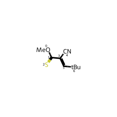 COC(=S)/C(C#N)=C/C(C)(C)C